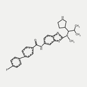 CC(C)C(C1CCNC1)N(C)c1nc2ccc(NC(=O)c3ccc(-c4ccc(F)cc4)cc3)cc2s1